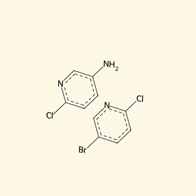 Clc1ccc(Br)cn1.Nc1ccc(Cl)nc1